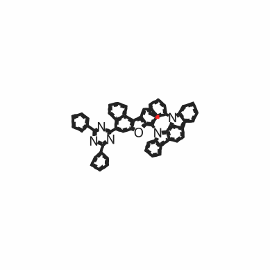 c1ccc(-c2nc(-c3ccccc3)nc(-c3cc4oc5c(-n6c7ccccc7c7ccc8c9ccccc9n(-c9ccccc9)c8c76)cccc5c4c4ccccc34)n2)cc1